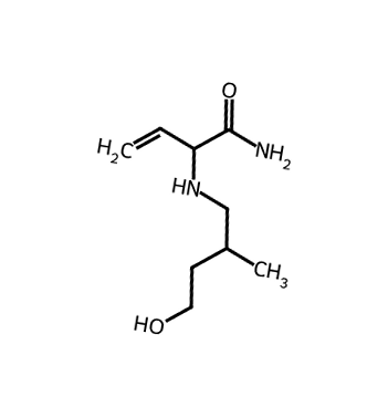 C=CC(NCC(C)CCO)C(N)=O